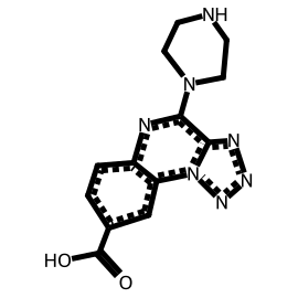 O=C(O)c1ccc2nc(N3CCNCC3)c3nnnn3c2c1